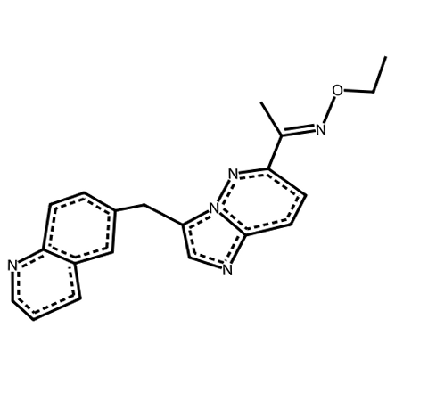 CCO/N=C(\C)c1ccc2ncc(Cc3ccc4ncccc4c3)n2n1